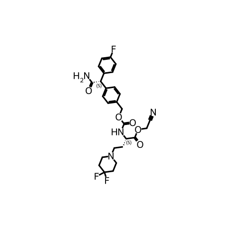 N#CCOC(=O)[C@H](CCN1CCC(F)(F)CC1)NC(=O)OCc1ccc([C@H](C(N)=O)c2ccc(F)cc2)cc1